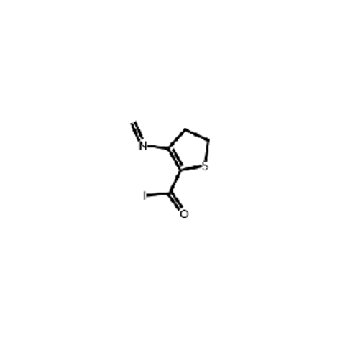 C=NC1=C(C(=O)I)SCC1